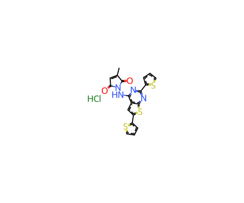 CC1=CC(=O)N(Nc2nc(-c3cccs3)nc3sc(-c4cccs4)cc23)C1=O.Cl